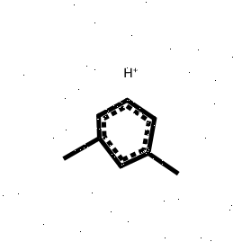 Cc1cccc(C)c1.[H+]